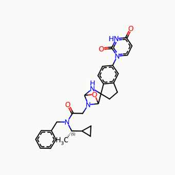 C[C@@H](C1CC1)N(Cc1ccccc1)C(=O)CN1C2NC3(CCc4cc(-n5ccc(=O)[nH]c5=O)ccc43)C1O2